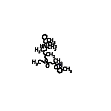 C=C(CCN(CCC)C(=O)CCC(=C)C(=O)/C=N\c1ccccc1C)CC(C)CC(C)NC(CC1CCCCC1)C(C)C